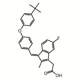 CC1=C(CC(=O)O)c2cc(F)ccc2/C1=C\c1ccc(Oc2ccc(C(C)(C)C)cc2)cc1